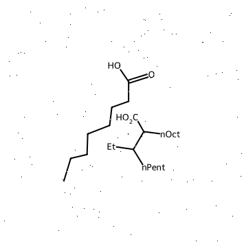 CCCCCCCC(=O)O.CCCCCCCCC(C(=O)O)C(CC)CCCCC